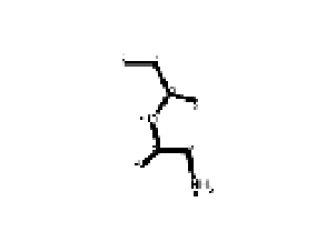 CCC(C)OC(C)CN